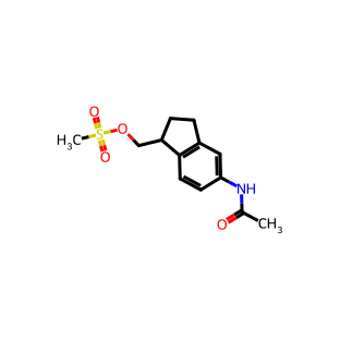 CC(=O)Nc1ccc2c(c1)CCC2COS(C)(=O)=O